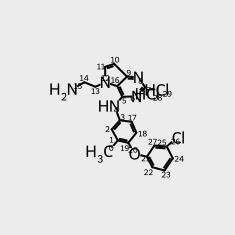 Cc1cc(Nc2ncnc3ccn(CCN)c23)ccc1Oc1cccc(Cl)c1.Cl.Cl